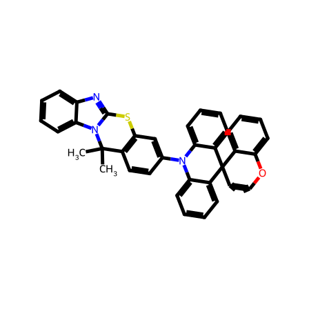 CC1(C)c2ccc(N3c4ccccc4C4(c5ccccc5Oc5ccccc54)c4ccccc43)cc2Sc2nc3ccccc3n21